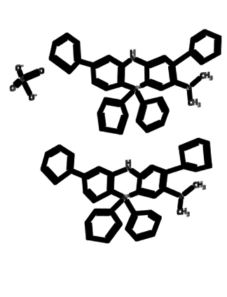 CN(C)c1cc2c(cc1-c1ccccc1)Nc1cc(-c3ccccc3)ccc1[N+]2(c1ccccc1)c1ccccc1.CN(C)c1cc2c(cc1-c1ccccc1)Nc1cc(-c3ccccc3)ccc1[N+]2(c1ccccc1)c1ccccc1.O=S(=O)([O-])[O-]